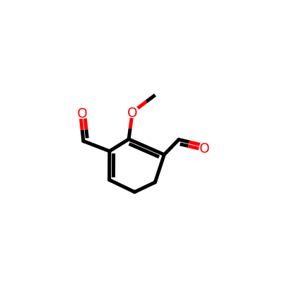 COC1=C(C=O)CCC=C1C=O